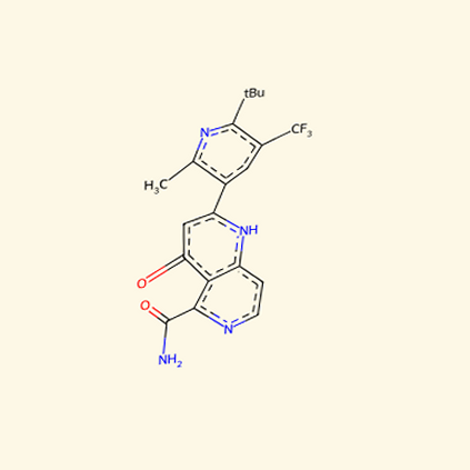 Cc1nc(C(C)(C)C)c(C(F)(F)F)cc1-c1cc(=O)c2c(C(N)=O)nccc2[nH]1